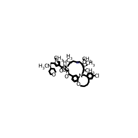 CC[C@H]1[C@@H](OC)/C=C/C[C@H](C)CS(=O)(NC(=O)c2cc(CN(C)C3CCOCC3)n(C)c2)=NC(=O)c2ccc3c(c2)N(Cc2ccc(Cl)cc2CCCCO3)C[C@@H]1C